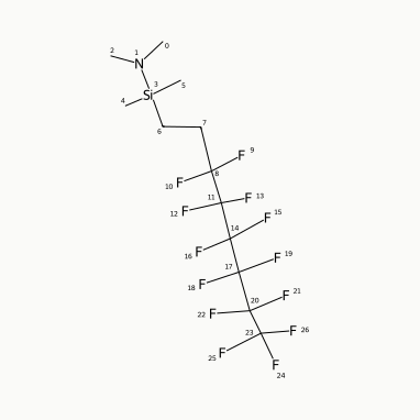 CN(C)[Si](C)(C)CCC(F)(F)C(F)(F)C(F)(F)C(F)(F)C(F)(F)C(F)(F)F